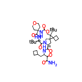 CC(C)(C)OC(=O)NC1(C(=O)N[C@@H](C(=O)N2CC3(C[C@H]2C(=O)NC(CC2CCC2)C(=O)C(N)=O)C(C)(C)C32CCC2)C(C)(C)C)CCOCC1